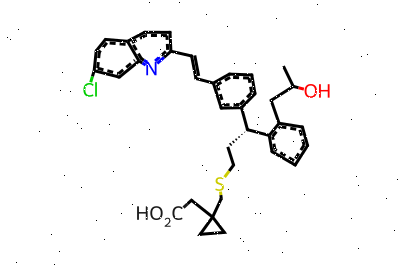 CC(O)Cc1ccccc1[C@H](CCSCC1(CC(=O)O)CC1)c1cccc(C=Cc2ccc3ccc(Cl)cc3n2)c1